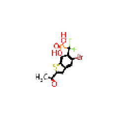 CC(=O)c1cc2cc(Br)c(C(F)(F)P(=O)(O)O)cc2s1